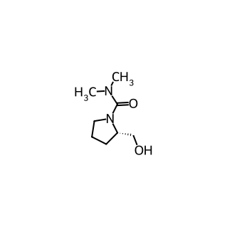 CN(C)C(=O)N1CCC[C@H]1CO